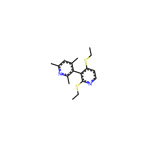 CCSc1ccnc(SCC)c1-c1c(C)[c]c(C)nc1C